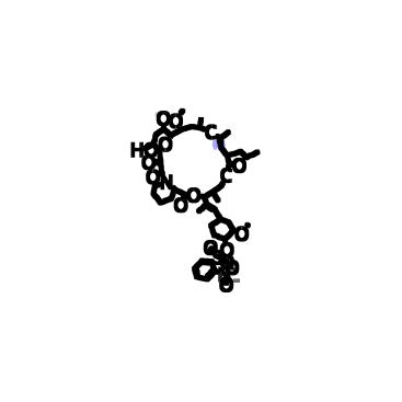 CCCC1/C=C(\C)CC(C)CC(OC)C2OC(O)(C(=O)C(=O)N3CCCCC3C(=O)OC(C(C)=CC3CCC(OS(=O)(=O)c4ccccc4[N+](=O)[O-])C(OC)C3)C(C)CCC1=O)C(C)CC2OC